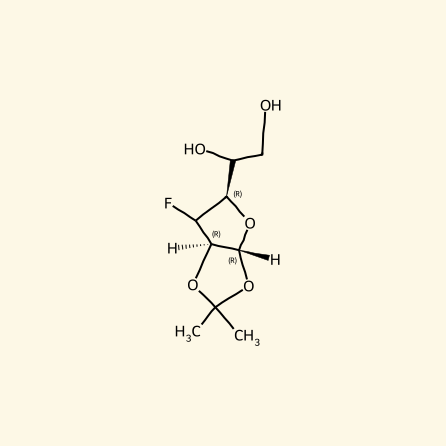 CC1(C)O[C@H]2O[C@H](C(O)CO)C(F)[C@@H]2O1